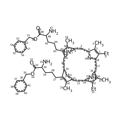 CCC1=C(C)c2cc3[nH]c(cc4nc(cc5[nH]c(cc1n2)c(C)c5CC)C(C)=C4CCCC(N)C(=O)OCc1ccccc1)c(CCCC(N)C(=O)OCc1ccccc1)c3C